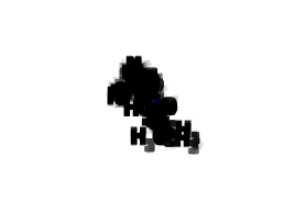 CC(C)(C)c1ccc2c(c1)C(=O)/C(=C/c1ccc3c4c(cccc14)-c1cnccc1N3c1ccncc1)C2O